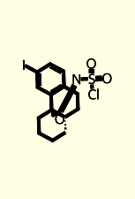 O=S(=O)(Cl)N=C1C[C@]23CCCC[C@]2(CCc2ccc(I)cc23)O1